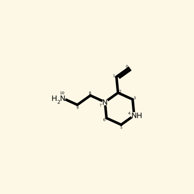 C=CC1CNCCN1CCN